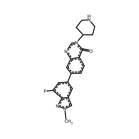 Cn1cc2cc(-c3ccc4c(=O)n(C5CCNCC5)cnc4c3)cc(F)c2n1